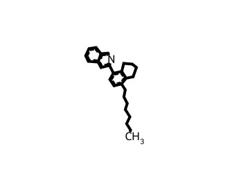 CCCCCCCCc1ccc(-c2cc3ccccc3cn2)c2c1CCCC2